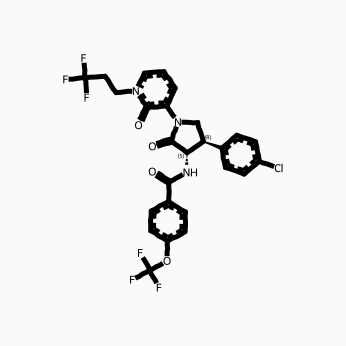 O=C(N[C@@H]1C(=O)N(c2cccn(CCC(F)(F)F)c2=O)C[C@H]1c1ccc(Cl)cc1)c1ccc(OC(F)(F)F)cc1